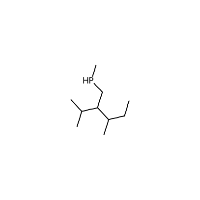 CCC(C)C(CPC)C(C)C